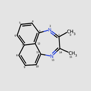 CC1=Nc2cccc3cccc(c23)N=C1C